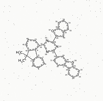 CC1(C)c2ccccc2-c2c(-c3nc(-c4ccc5c(c4)sc4ccccc45)nc(-c4cc5ccccc5o4)n3)cccc21